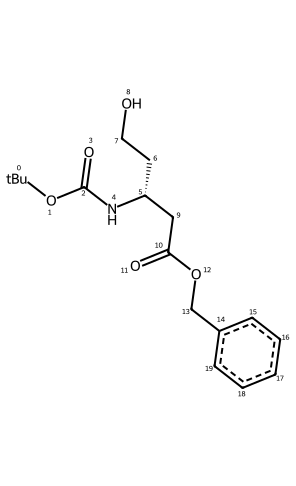 CC(C)(C)OC(=O)N[C@H](CCO)CC(=O)OCc1ccccc1